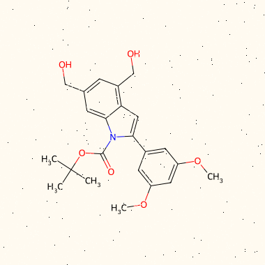 COc1cc(OC)cc(-c2cc3c(CO)cc(CO)cc3n2C(=O)OC(C)(C)C)c1